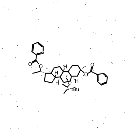 CC(OC(=O)c1ccccc1)[C@H]1CC[C@H]2[C@@H]3CC[C@@H]4C[C@](C)(OC(=O)c5ccccc5)CC[C@]4(CO[Si](C)(C)C(C)(C)C)[C@H]3CC[C@]12C